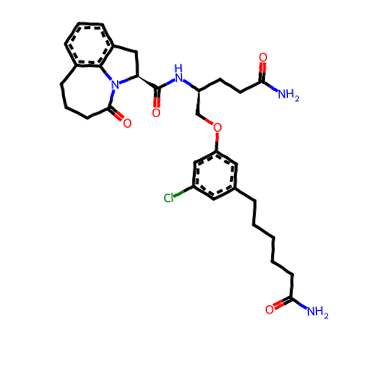 NC(=O)CCCCCc1cc(Cl)cc(OC[C@H](CCC(N)=O)NC(=O)[C@@H]2Cc3cccc4c3N2C(=O)CCC4)c1